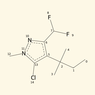 CCC(C)(C)c1c(C(F)F)nn(C)c1Cl